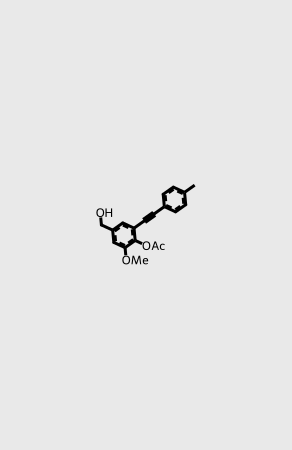 COc1cc(CO)cc(C#Cc2ccc(C)cc2)c1OC(C)=O